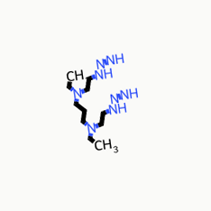 CCN(CCCN(CC)CCNN=N)CCNN=N